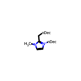 CCCCCCCCCCCc1n(C)cc[n+]1CCCCCCCCCC